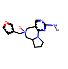 CCNc1ncc2c(n1)N1CCCC1C[N+]([O-])(Cc1ccoc1)C2